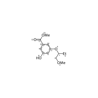 CCC(COC)Oc1cc(O)cc(C(=O)OC)c1